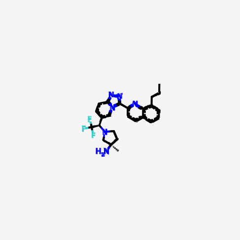 CCCc1cccc2ccc(-c3nnc4ccc([C@@H](N5CC[C@@](C)(N)C5)C(F)(F)F)cn34)nc12